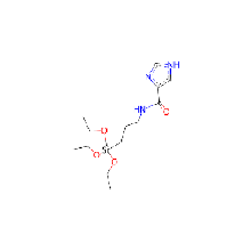 CCO[Si](CCCNC(=O)c1c[nH]cn1)(OCC)OCC